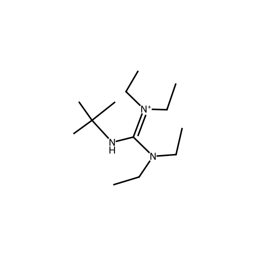 CCN(CC)C(NC(C)(C)C)=[N+](CC)CC